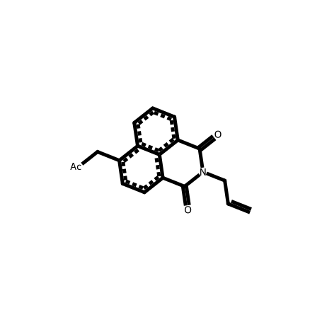 C=CCN1C(=O)c2cccc3c(CC(C)=O)ccc(c23)C1=O